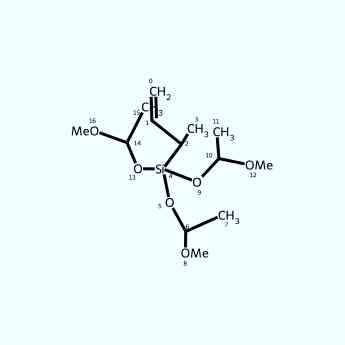 C=CC(C)[Si](OC(C)OC)(OC(C)OC)OC(C)OC